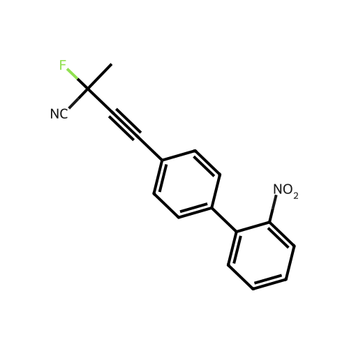 CC(F)(C#N)C#Cc1ccc(-c2ccccc2[N+](=O)[O-])cc1